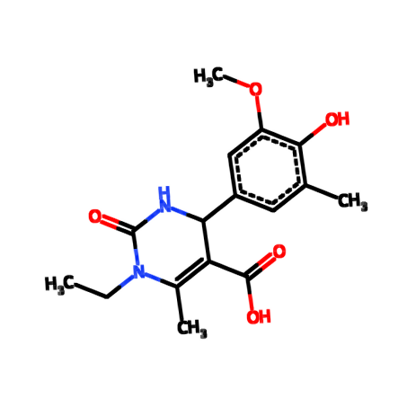 CCN1C(=O)NC(c2cc(C)c(O)c(OC)c2)C(C(=O)O)=C1C